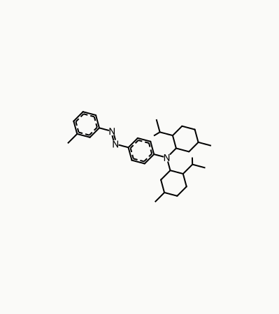 Cc1cccc(N=Nc2ccc(N(C3CC(C)CCC3C(C)C)C3CC(C)CCC3C(C)C)cc2)c1